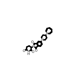 O=C1CCC(N2C(=O)c3ccc(N4CCC(N5C=CC=CC=C5)CC4)cc3C2=O)C(=O)N1